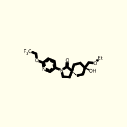 CCOC[C@]1(O)CC[C@@]2(CCN(c3ccc(OCC(F)(F)F)nc3)C2=O)CC1